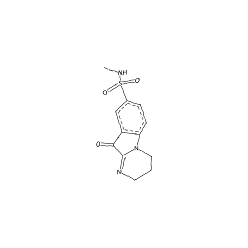 CNS(=O)(=O)c1ccc2c(c1)C(=O)C1=NCCCN12